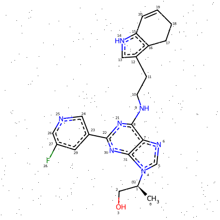 C[C@@H](CO)n1cnc2c(NCCc3c[nH]c4c3CCC=C4)nc(-c3cncc(F)c3)nc21